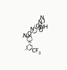 Cc1cc([C@H]2CC[C@H](Oc3ccc(S(=O)(=O)Nc4ccncn4)c(C)n3)[C@@H](N(C)C)C2)cc(C(F)(F)F)c1